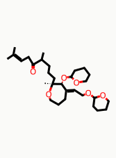 CC(C)=CCC(=O)C(C)CCC[C@]1(C)OCCCC(=CCOC2CCCCO2)[C@H]1OC1CCCCO1